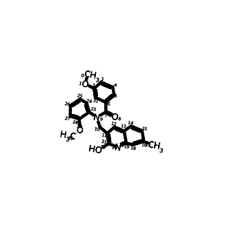 COc1cccc(C(=O)N(Cc2cc3ccc(C)cc3nc2O)c2ccccc2OC)c1